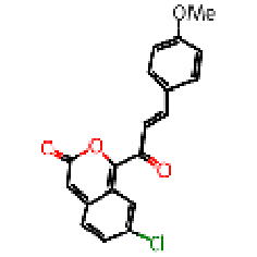 COc1ccc(C=CC(=O)c2oc(=O)cc3ccc(Cl)cc23)cc1